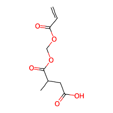 C=CC(=O)OCOC(=O)C(C)CC(=O)O